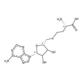 Nc1ncnc2c1ncn2[C@@H]1O[C@H](CSCC[C@H](N)C(=O)O)C(O)C1O